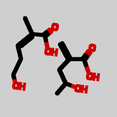 C=C(CC(C)O)C(=O)O.CC(=CCCO)C(=O)O